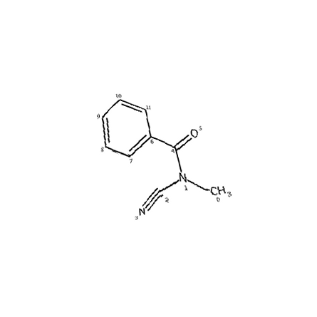 CN(C#N)C(=O)c1ccccc1